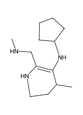 CNCC1=C(NC2CCCC2)C(C)CCN1